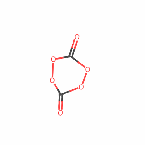 O=C1OOC(=O)OO1